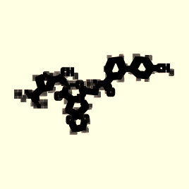 Cc1ccc(-c2cccc(C(=O)NCC(=O)N3CC4(CC3C(=O)N[C@H](C)c3cc(C(=N)N)cs3)OCCO4)c2)cc1